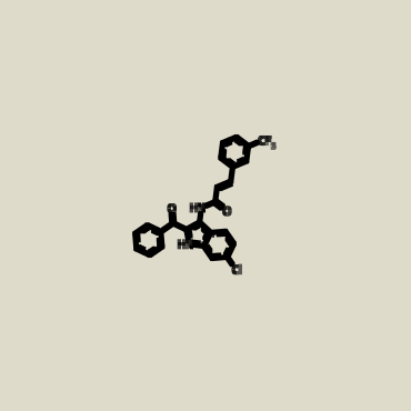 O=C(C=Cc1cccc(C(F)(F)F)c1)Nc1c(C(=O)c2ccccc2)[nH]c2cc(Cl)ccc12